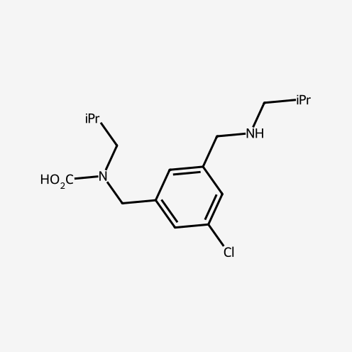 CC(C)CNCc1cc(Cl)cc(CN(CC(C)C)C(=O)O)c1